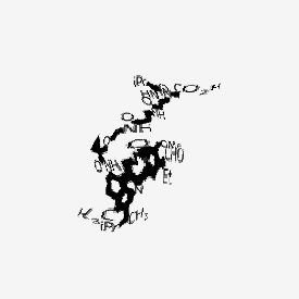 CCC(C=O)c1cc2n(c(=O)c1COC)Cc1c-2nc2cc(C(C)C(C)C)c(C)c3c2c1C(NC(=O)C1(COCCNC(=O)CCNC(=O)CC(CNCC(=O)O)NC(=O)C(C)C)CC1)CC3